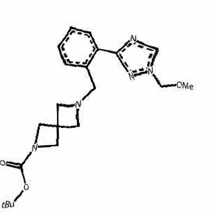 COCn1cnc(-c2ccccc2CN2CC3(C2)CN(C(=O)OC(C)(C)C)C3)n1